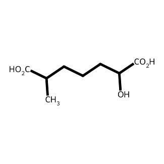 CC(CCCC(O)C(=O)O)C(=O)O